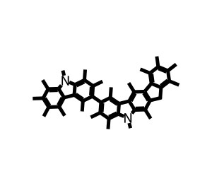 Cc1c(C)c(C)c2c(c1C)Cc1c-2c(C)c2c3c(C)c(-c4c(C)c(C)c5c(c4C)c4c(C)c(C)c(C)c(C)c4n5C)c(C)c(C)c3n(C)c2c1C